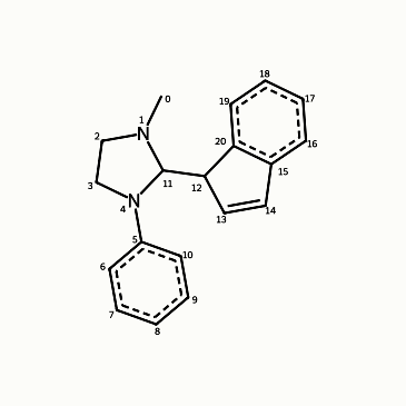 CN1CCN(c2ccccc2)C1C1C=Cc2ccccc21